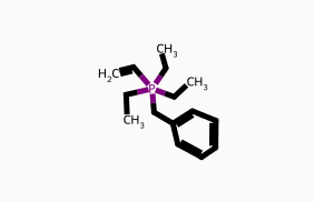 C=CP(CC)(CC)(CC)Cc1ccccc1